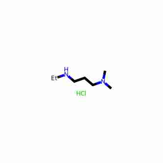 CCNCCCN(C)C.Cl